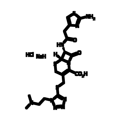 CN(C)CCn1nnnc1SCC1=C(C(=O)O)N2C(=O)[C@@H](NC(=O)Cc3csc(N)n3)[C@H]2SC1.Cl.[NaH]